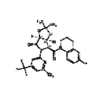 Cc1cc(C(F)(F)F)cc(N2C(=O)[C@H]3OC(C)(C)O[C@H]3[C@H]2C(=O)N2CCCc3cc(F)ccc32)n1